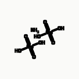 N.[O]=[Mo](=[O])([OH])[OH].[O]=[Mo](=[O])([OH])[OH]